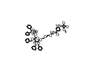 CCOc1c(Nc2ccc(C(=O)NCCOCCOCCOC3O[C@H](COP(=O)(OCc4ccccc4)OCc4ccccc4)[C@@H](OCc4ccccc4)[C@H](OCc4ccccc4)[C@@H]3OCc3ccccc3)cc2)c(=O)c1=O